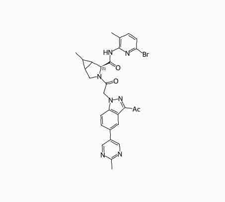 CC(=O)c1nn(CC(=O)N2CC3C(C)C3[C@H]2C(=O)Nc2nc(Br)ccc2C)c2ccc(-c3cnc(C)nc3)cc12